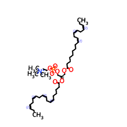 CC/C=C\C/C=C\C/C=C\C/C=C\CCCCC(=O)O[C@H](COC(=O)CCCCCCC/C=C\C/C=C\C/C=C\CC)COP(=O)([O-])OCC[N+](C)(C)C